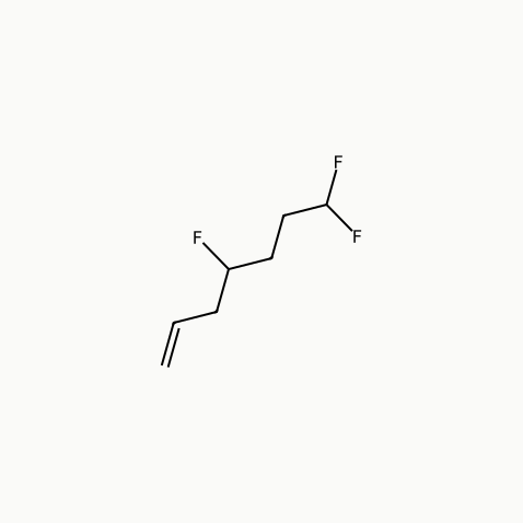 C=CCC(F)CCC(F)F